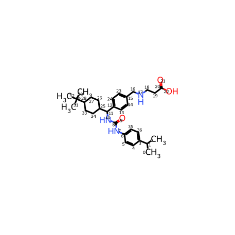 CC(C)c1ccc(NC(=O)NC(c2ccc(CNCCC(=O)O)cc2)C2CCC(C(C)(C)C)CC2)cc1